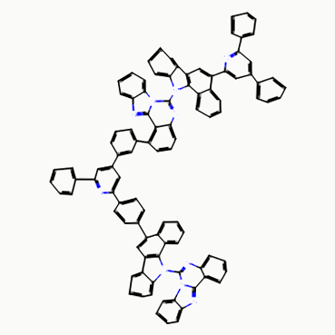 c1ccc(-c2cc(-c3ccccc3)nc(-c3cc4c5ccccc5n(-c5nc6cccc(-c7cccc(-c8cc(-c9ccccc9)nc(-c9ccc(-c%10cc%11c%12ccccc%12n(-c%12nc%13ccccc%13c%13nc%14ccccc%14n%12%13)c%11c%11ccccc%10%11)cc9)c8)c7)c6c6nc7ccccc7n56)c4c4ccccc34)c2)cc1